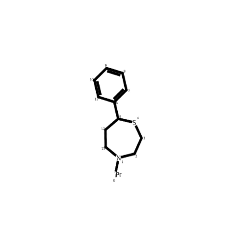 CC(C)N1CCSC(c2ccccc2)CC1